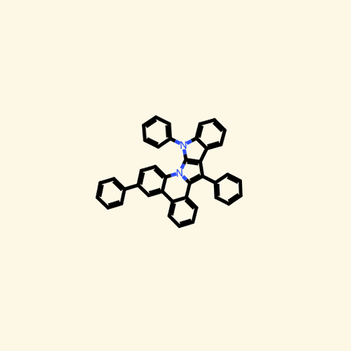 c1ccc(-c2ccc3c(c2)c2ccccc2c2c(-c4ccccc4)c4c5ccccc5n(-c5ccccc5)c4n32)cc1